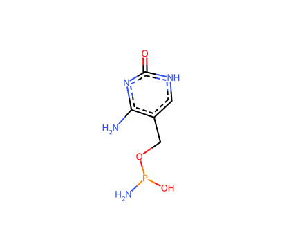 Nc1nc(=O)[nH]cc1COP(N)O